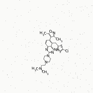 Cc1noc(C)c1-c1ccc2nc(N3CCN(CCN(C)C)CC3)nc(N)c2c1Cc1ccc(Cl)s1